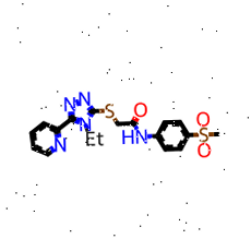 CCn1c(SCC(=O)Nc2ccc(S(C)(=O)=O)cc2)nnc1-c1ccccn1